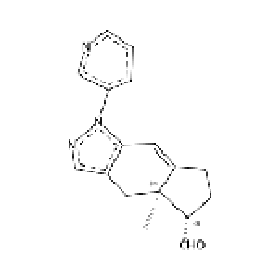 C[C@]12Cc3cnn(-c4cccnc4)c3C=C1CC[C@@H]2C=O